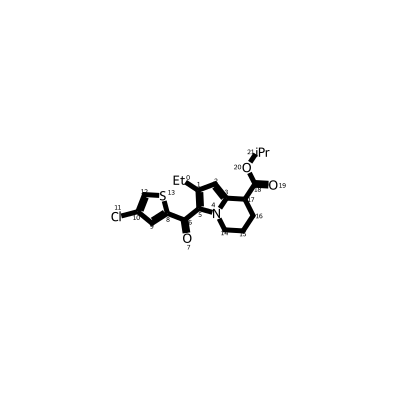 CCc1cc2n(c1C(=O)c1cc(Cl)cs1)CCCC2C(=O)OC(C)C